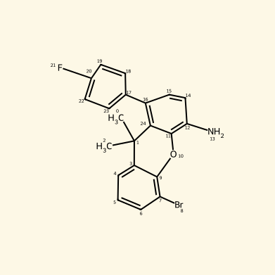 CC1(C)c2cccc(Br)c2Oc2c(N)ccc(-c3ccc(F)cc3)c21